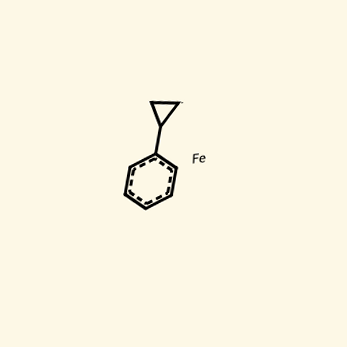 [CH]1CC1c1ccccc1.[Fe]